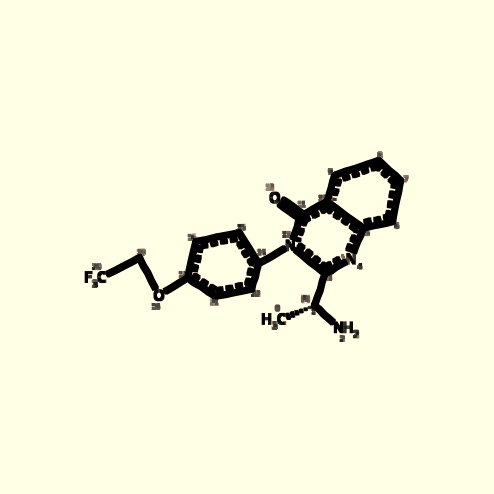 C[C@@H](N)c1nc2ccccc2c(=O)n1-c1ccc(OCC(F)(F)F)cc1